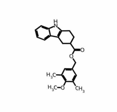 COc1c(C)cc(COC(=O)C2CCc3[nH]c4ccccc4c3C2)cc1C